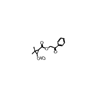 CC1(C)C(C=O)C1C(=O)OCC(=O)c1ccccc1